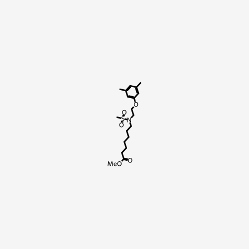 COC(=O)CCCCCCN(CCOc1cc(C)cc(C)c1)S(C)(=O)=O